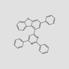 c1ccc(-c2cc(-c3cc(-c4ccccc4)nc(-c4ccccc4)n3)c3c(c2)sc2ccccc23)cc1